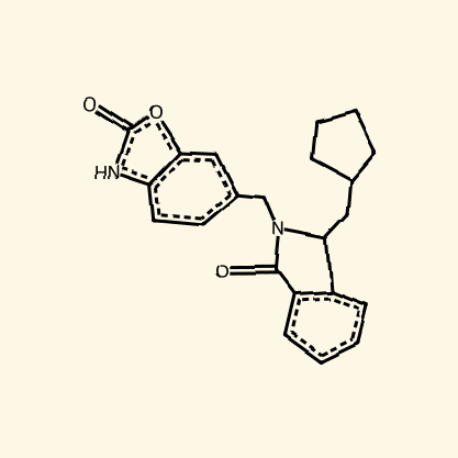 O=C1c2ccccc2C(CC2CCCC2)N1Cc1ccc2[nH]c(=O)oc2c1